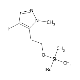 Cn1ncc(I)c1CCO[Si](C)(C)C(C)(C)C